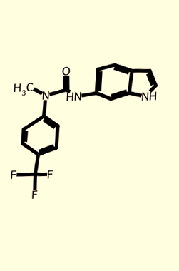 CN(C(=O)Nc1ccc2cc[nH]c2c1)c1ccc(C(F)(F)F)cc1